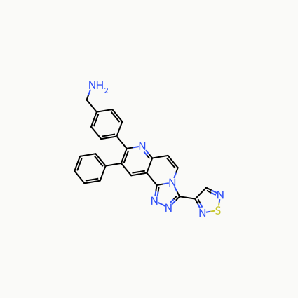 NCc1ccc(-c2nc3ccn4c(-c5cnsn5)nnc4c3cc2-c2ccccc2)cc1